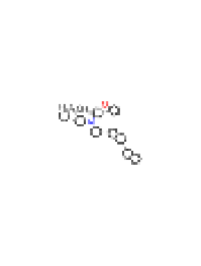 CC1(C)c2ccccc2-c2ccc(N(c3cccc(-c4ccc5ccc(-c6ccc7ccccc7c6)cc5c4)c3)c3ccc4oc5ccccc5c4c3)cc21